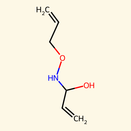 C=CCONC(O)C=C